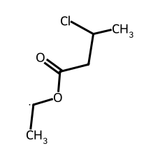 C[CH]OC(=O)CC(C)Cl